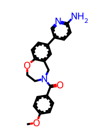 COc1ccc(C(=O)N2CCOc3ccc(-c4ccc(N)nc4)cc3C2)cc1